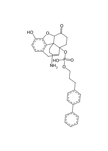 NC1CCC23c4c5ccc(O)c4OC2C(=O)CCC3(OP(=O)(O)OCCCc2ccc(-c3ccccc3)cc2)C1C5